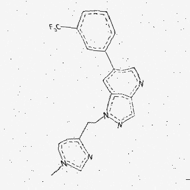 Cn1cnc(Cn2ncc3ncc(-c4cccc(C(F)(F)F)c4)cc32)c1